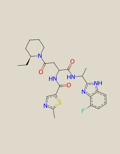 CC[C@H]1CCCCN1C(=O)CC(NC(=O)c1cnc(C)s1)C(=O)NC(C)c1nc2c(F)cccc2[nH]1